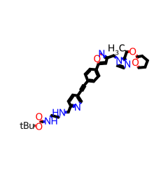 C[C@H](OC1CCCCO1)c1nccn1Cc1cc(-c2ccc(C#Cc3ccc(CNCCNC(=O)OC(C)(C)C)nc3)cc2)on1